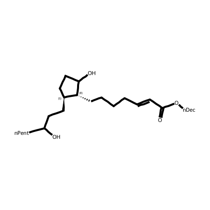 CCCCCCCCCCOC(=O)C=CCCCC[C@H]1C(O)CC[C@@H]1CCC(O)CCCCC